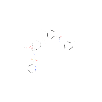 C[C@H]1CC2CC(S(=O)(=O)c3cc(C(=O)Nc4cc(F)c(F)c(F)c4)ccc3Cl)CC1[C@@]2(O)CNS(=O)(=O)c1ccccn1